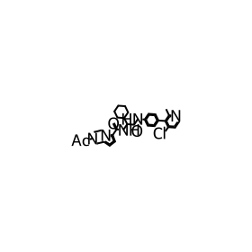 CC(=O)N1CCn2c(ccc2C(=O)NC(C(=O)Nc2ccc(-c3c(Cl)ccnc3C)cc2)C2CCCCC2)C1